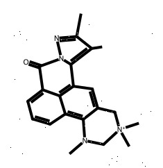 Cc1nn2c(=O)c3cccc4c5c(cc(c43)c2c1C)C[N+](C)(C)CN5C